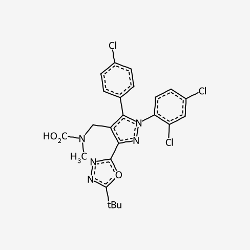 CN(Cc1c(-c2nnc(C(C)(C)C)o2)nn(-c2ccc(Cl)cc2Cl)c1-c1ccc(Cl)cc1)C(=O)O